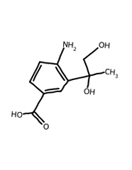 CC(O)(CO)c1cc(C(=O)O)ccc1N